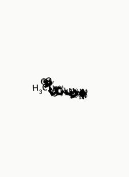 CC1=C(N2CCOC3(CCN(CCc4ccc(-n5cnnn5)cn4)CC3)C2)COC1=O